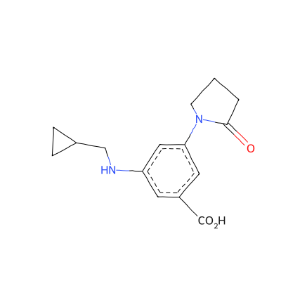 O=C(O)c1cc(NCC2CC2)cc(N2CCCC2=O)c1